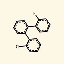 Fc1ccccc1-c1ccccc1-c1ccccc1Cl